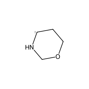 [C]1CCOCN1